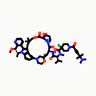 CCn1c(-c2cccnc2[C@H](C)OC)c2c3cc(ccc31)N1CCO[C@@H](C[C@H](NC(=O)[C@H](C(C)C)N(C)C(=O)C3(F)CCN(C(=O)C#CC(C)(C)N(C)C)CC3)C(=O)N3CCC[C@@](O)(N3)C(=O)OCC(C)(C)C2)C1